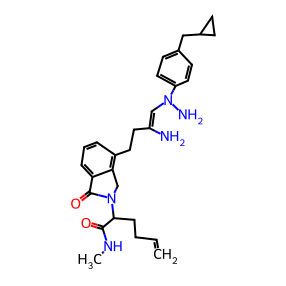 C=CCCC(C(=O)NC)N1Cc2c(CC/C(N)=C/N(N)c3ccc(CC4CC4)cc3)cccc2C1=O